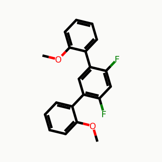 COc1ccccc1-c1cc(-c2ccccc2OC)c(F)cc1F